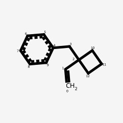 C=CC1(Cc2ccccc2)CCC1